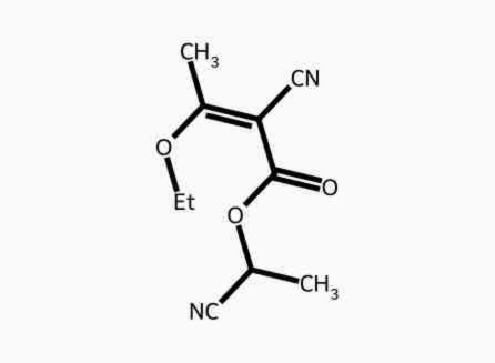 CCOC(C)=C(C#N)C(=O)OC(C)C#N